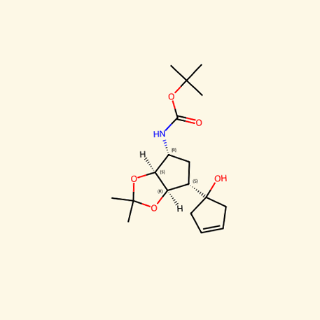 CC(C)(C)OC(=O)N[C@@H]1C[C@H](C2(O)CC=CC2)[C@H]2OC(C)(C)O[C@H]21